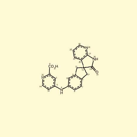 O=C(O)c1cc(Nc2ccc3c(c2)CC2(C3)C(=O)Nc3ncccc32)ccn1